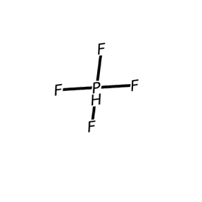 F[PH](F)(F)F